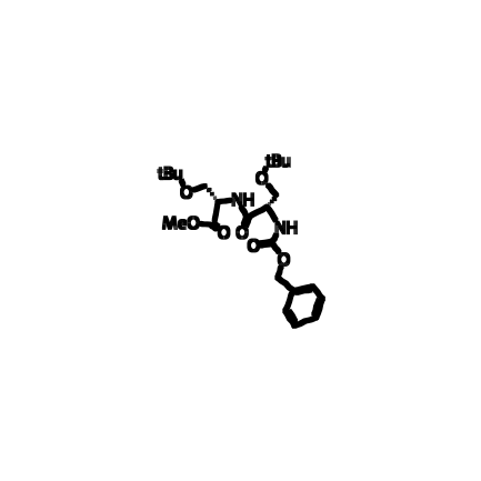 COC(=O)[C@H](COC(C)(C)C)NC(=O)[C@H](COC(C)(C)C)NC(=O)OCc1ccccc1